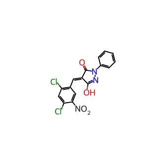 O=C1/C(=C/c2cc([N+](=O)[O-])c(Cl)cc2Cl)C(O)=NN1c1ccccc1